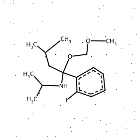 COCOC(CC(C)C)(NC(C)C)c1ccccc1I